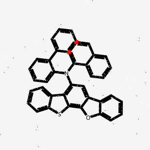 c1ccc(-c2ccccc2N(c2cccc3ccccc23)c2cc3c4ccccc4oc3c3sc4ccccc4c23)cc1